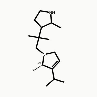 CC(C)C1=CCN(CC(C)(C)C2CCNC2C)[C@H]1C